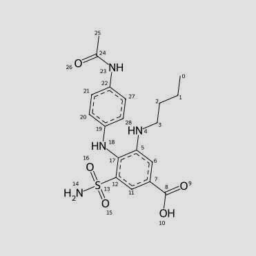 CCCCNc1cc(C(=O)O)cc(S(N)(=O)=O)c1Nc1ccc(NC(C)=O)cc1